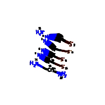 N#C[S-].N#C[S-].N#C[S-].N#C[S-].[NH2][Cr+3][NH2].[NH4+]